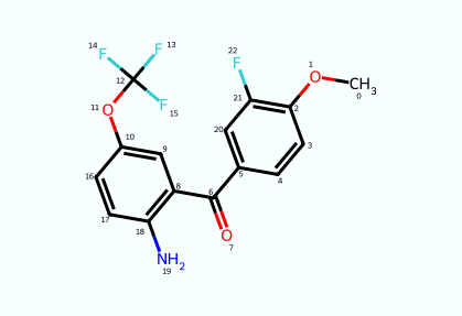 COc1ccc(C(=O)c2cc(OC(F)(F)F)ccc2N)cc1F